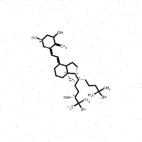 C=C1/C(=C\C=C2CCC[C@@]3(C)C2CC[C@@H]3[C@H](CCCC(C)(C)O)CC[C@@H](O)C(C)(C)O)C[C@@H](O)CC1O